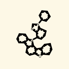 c1ccc(-n2cnc3c(-n4c5ccccc5c5ccc6oc7ccccc7c6c54)cccc32)cc1